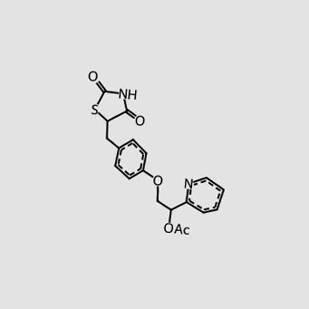 CC(=O)OC(COc1ccc(CC2SC(=O)NC2=O)cc1)c1ccccn1